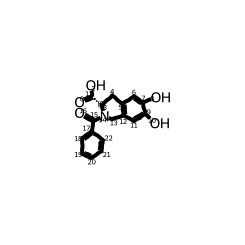 O=C(O)[C@@H]1Cc2cc(O)c(O)cc2CN1C(=O)c1ccccc1